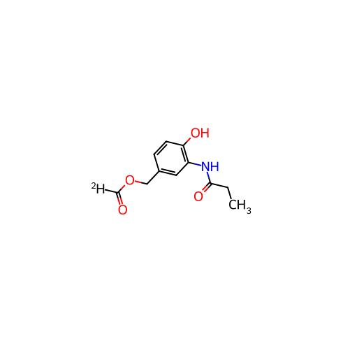 [2H]C(=O)OCc1ccc(O)c(NC(=O)CC)c1